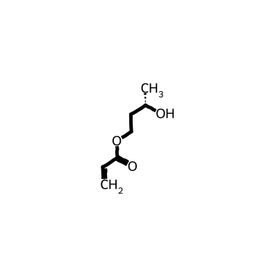 C=CC(=O)OCC[C@H](C)O